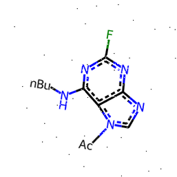 CCCCNc1nc(F)nc2ncn(C(C)=O)c12